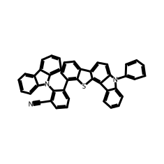 N#Cc1cccc(-c2cccc3c2sc2c3ccc3c2c2ccccc2n3-c2ccccc2)c1-n1c2ccccc2c2ccccc21